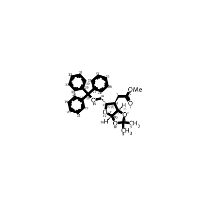 COC(=O)C[C@H]1[C@H]2OC(C)(C)O[C@H]2O[C@@H]1COC(c1ccccc1)(c1ccccc1)c1ccccc1